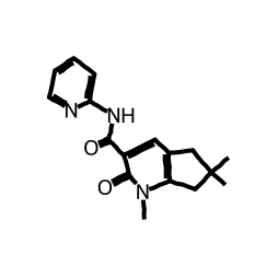 Cn1c2c(cc(C(=O)Nc3ccccn3)c1=O)CC(C)(C)C2